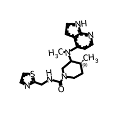 C[C@@H]1CCN(C(=O)NCc2nccs2)CC1N(C)c1ccnc2[nH]ccc12